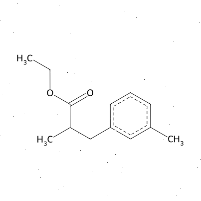 CCOC(=O)C(C)Cc1cccc(C)c1